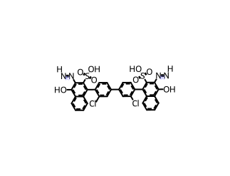 [H]/N=N/c1c(S(=O)(=O)O)c(-c2ccc(-c3ccc(-c4c(S(=O)(=O)O)c(/N=N/[H])c(O)c5ccccc45)c(Cl)c3)cc2Cl)c2ccccc2c1O